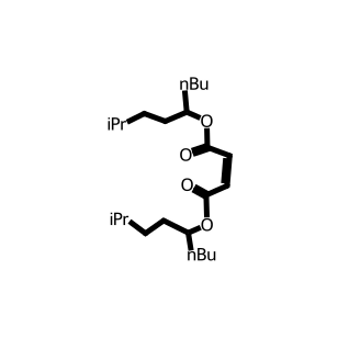 CCCCC(CCC(C)C)OC(=O)/C=C\C(=O)OC(CCCC)CCC(C)C